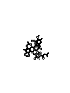 COc1c(C)cc2c(c1O)[C@@H]1C3Cc4c(OC(C)=O)c(C)c5c(c4[C@H](CNC(=O)[C@@H](C)NC(=O)CC(C)C)N3[C@@H](O)[C@H](C2)N1C)OCO5